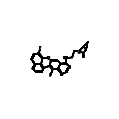 Fc1ccc2cccc(-c3ncc4c(NCC[C@H]5NC6CC65)ncnc4c3F)c2c1Cl